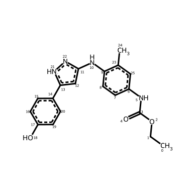 CCOC(=O)Nc1ccc(Nc2cc(-c3ccc(O)cc3)[nH]n2)c(C)c1